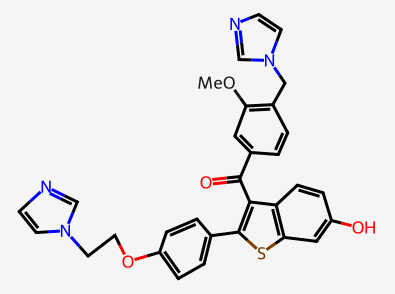 COc1cc(C(=O)c2c(-c3ccc(OCCn4ccnc4)cc3)sc3cc(O)ccc23)ccc1Cn1ccnc1